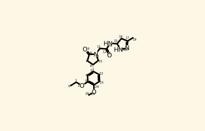 CCOc1cc([C@@H]2CC(=O)N(CC(=O)NC3CC(C)=NN3)C2)ccc1OC